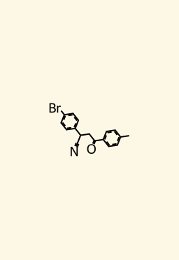 Cc1ccc(C(=O)CC(C#N)c2ccc(Br)cc2)cc1